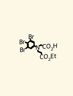 CCOC(=O)CCN(CC(=O)O)c1cc(Br)c(Br)c(Br)c1